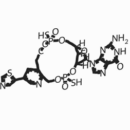 Nc1nc2c(ncn2[C@@H]2O[C@@H]3COP(=O)(S)OCCc4cc(-c5cncs5)cnc4COP(=O)(S)O[C@@H]2[C@@H]3F)c(=O)[nH]1